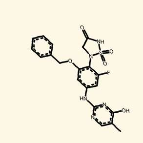 Cc1cnc(Nc2cc(F)c(N3CC(=O)NS3(=O)=O)c(OCc3ccccc3)c2)nc1O